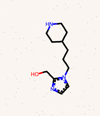 OCc1nccn1CCCC1CCNCC1